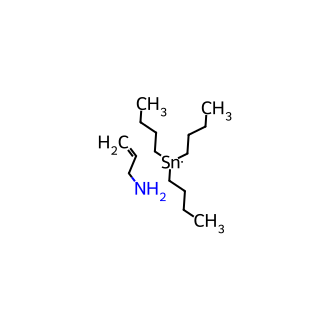 C=CCN.CCC[CH2][Sn]([CH2]CCC)[CH2]CCC